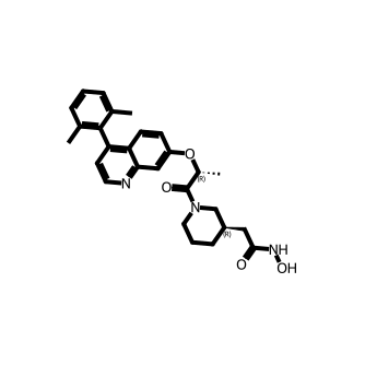 Cc1cccc(C)c1-c1ccnc2cc(O[C@H](C)C(=O)N3CCC[C@H](CC(=O)NO)C3)ccc12